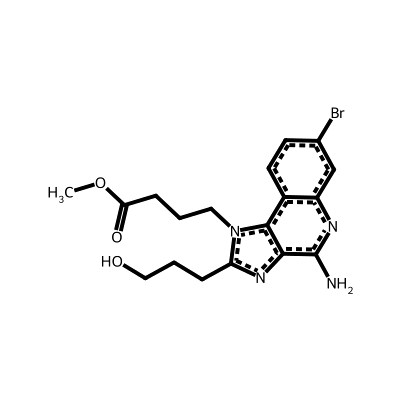 COC(=O)CCCn1c(CCCO)nc2c(N)nc3cc(Br)ccc3c21